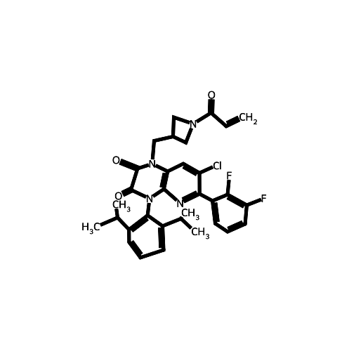 C=CC(=O)N1CC(Cn2c(=O)c(=O)n(-c3c(C(C)C)cccc3C(C)C)c3nc(-c4cccc(F)c4F)c(Cl)cc32)C1